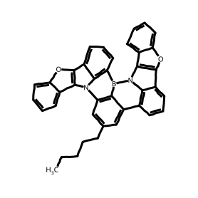 CCCCCc1cc2c3c(c1)-n1c4c(cccc4c4oc5ccccc5c41)B3n1c3c-2cccc3c2oc3ccccc3c21